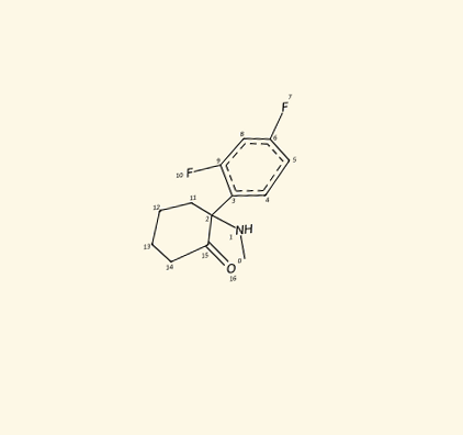 CNC1(c2ccc(F)cc2F)CCCCC1=O